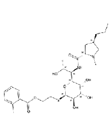 CCC[C@@H]1C[C@@H](C(=O)N[C@@H]([C@H]2O[C@H](SCCOC(=O)c3ccccc3C)[C@H](O)[C@@H](O)[C@H]2O)[C@@H](C)O)N(C)C1